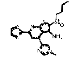 CCCC[S@@+]([O-])c1sc2nc(-c3nccs3)cc(-c3cn(C)cn3)c2c1N